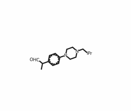 CC(C)CN1CCN(c2ccc(C(C)C=O)cc2)CC1